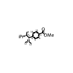 COC(=O)c1ccc([C@@H]([C@H](C)C(C)C)N(C)C)cc1